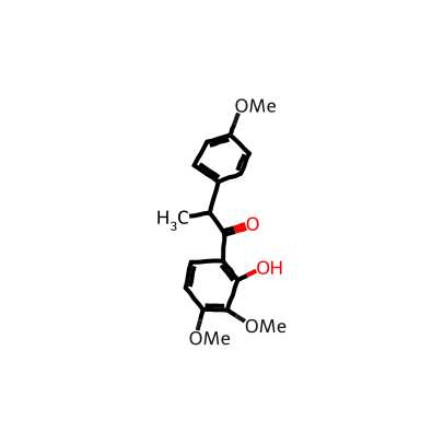 COc1ccc(C(C)C(=O)c2ccc(OC)c(OC)c2O)cc1